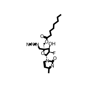 CCCCCCCC(=O)OC[C@@]1(CN=[N+]=[N-])O[C@@H](n2ccc(C)nc2=O)[C@H](F)[C@@H]1O